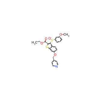 CCOC(=O)c1sc2cc(OCc3ccncc3)ccc2c1[S+]([O-])c1cccc(OC)c1